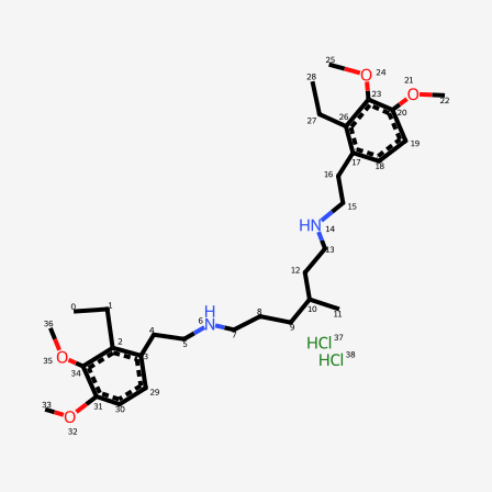 CCc1c(CCNCCCC(C)CCNCCc2ccc(OC)c(OC)c2CC)ccc(OC)c1OC.Cl.Cl